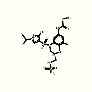 Cc1nn(C(F)F)cc1S(=O)(=O)N1C[C@H](CNS(C)(=O)=O)Oc2c(F)cc(NC(=O)OC(C)(C)C)cc21